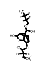 C=CC(C)(C(C)C)C(O)OC1C2CC3C1OC(O)C3C2C(O)OCC(F)(F)C(F)(F)C(F)(F)F